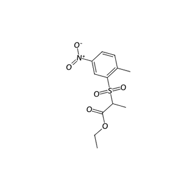 CCOC(=O)C(C)S(=O)(=O)c1cc([N+](=O)[O-])ccc1C